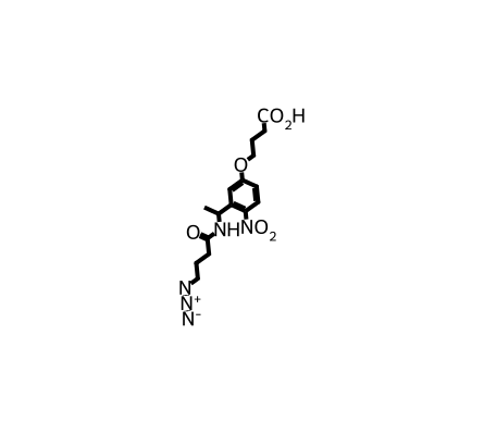 CC(NC(=O)CCCN=[N+]=[N-])c1cc(OCCCC(=O)O)ccc1[N+](=O)[O-]